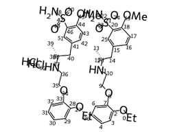 CCOc1ccccc1OCCN[C@H](C)Cc1ccc(OC)c(S(N)(=O)=O)c1.CCOc1ccccc1OCCN[C@H](C)Cc1ccc(OC)c(S(N)(=O)=O)c1.Cl.Cl